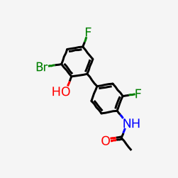 CC(=O)Nc1ccc(-c2cc(F)cc(Br)c2O)cc1F